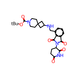 CC(C)(C)OC(=O)N1CCC2(CC1)CC(NCc1cccc3c1C(=O)N(C1CCC(=O)NC1=O)C3=O)C2